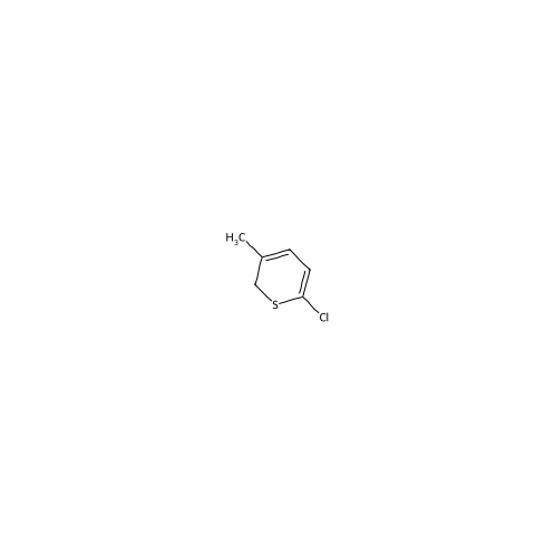 CC1=CC=C(Cl)SC1